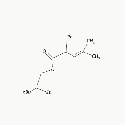 CCCCC(CC)COC(=O)C(C=C(C)C)C(C)C